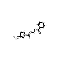 CC1=CN(C(=O)OCOC(=O)c2ccccc2)CC1